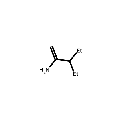 C=C(N)C(CC)CC